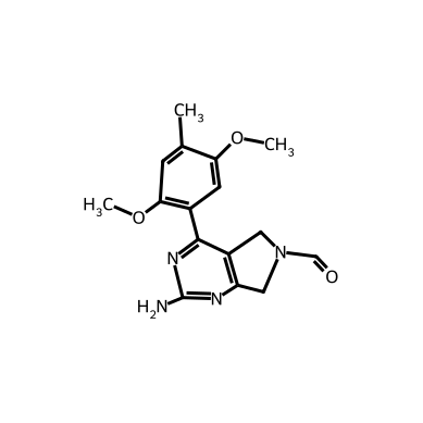 COc1cc(-c2nc(N)nc3c2CN(C=O)C3)c(OC)cc1C